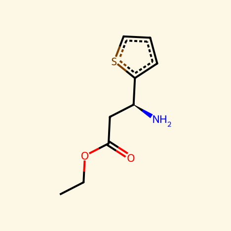 CCOC(=O)C[C@H](N)c1cccs1